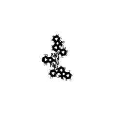 CC1(C)c2ccccc2-c2ccc3c(c21)c1ccccc1n3-c1nc2c3c(nc(-n4c5ccccc5c5c6c(ccc54)-c4ccccc4C6(C)C)nc3n1)-c1ccccc1-2